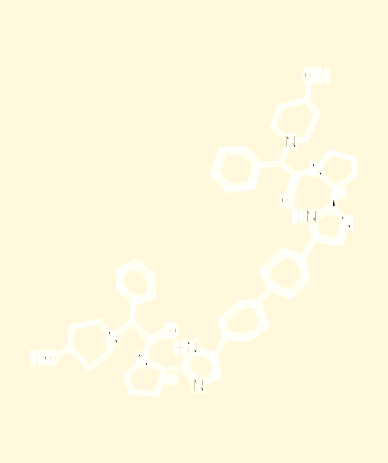 O=C(C(c1ccccc1)N1CCC(O)CC1)N1CCC[C@H]1c1ncc(-c2ccc(-c3ccc(-c4cnc([C@@H]5CCCN5C(=O)C(c5ccccc5)N5CCC(O)CC5)[nH]4)cc3)cc2)[nH]1